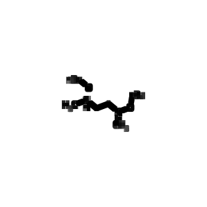 CCCCO[SiH](C)[CH]C[SiH](C)OCCCC